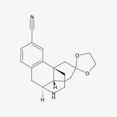 N#Cc1ccc2c(c1)[C@@]13CCN[C@@H](C2)[C@H]1CCC1(C3)OCCO1